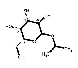 CC(C)OC1O[C@H](CO)[C@H](O)[C@H](S)[C@H]1O